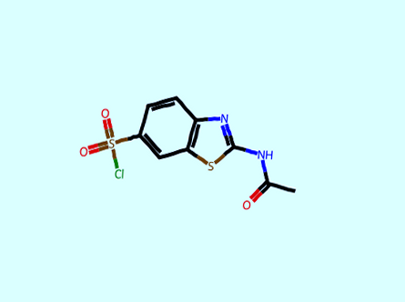 CC(=O)Nc1nc2ccc(S(=O)(=O)Cl)cc2s1